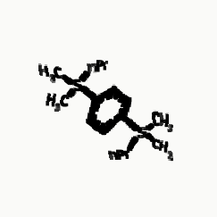 CCCS(C)(C)c1ccc(S(C)(C)CCC)cc1